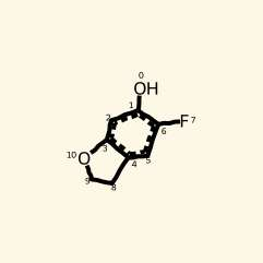 Oc1cc2c(cc1F)CCO2